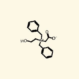 O=C([O-])C[N+](CCO)(Cc1ccccc1)Cc1ccccc1